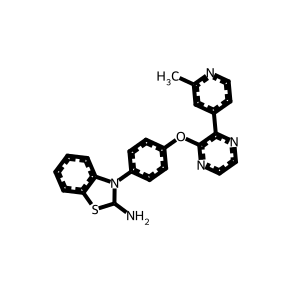 Cc1cc(-c2nccnc2Oc2ccc(N3c4ccccc4SC3N)cc2)ccn1